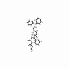 CCCC(=O)CN(C)CN(c1ccccc1)C1(C)CCN(CCC(c2ccccc2)c2ccccc2)CC1